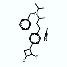 CC#N.CC(C)N(Cc1ccccc1)C(C)CCc1ccc(C2CC(F)C2F)cc1